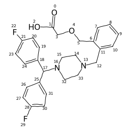 O=C(O)COCc1ccccc1CN1CCN(C(c2ccc(F)cc2)c2ccc(F)cc2)CC1